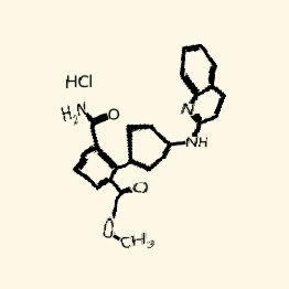 COC(=O)c1cccc(C(N)=O)c1C1CCC(Nc2ccc3ccccc3n2)CC1.Cl